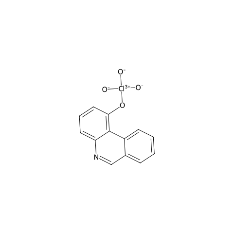 [O-][Cl+3]([O-])([O-])Oc1cccc2ncc3ccccc3c12